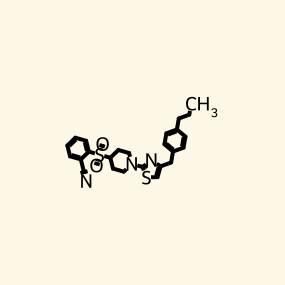 CCCc1ccc(Cc2csc(N3CCC(S(=O)(=O)c4ccccc4C#N)CC3)n2)cc1